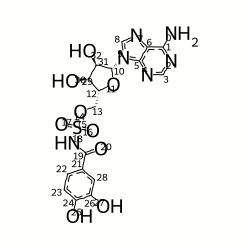 Nc1ncnc2c1ncn2[C@@H]1O[C@H](COS(=O)(=O)NC(=O)c2ccc(O)c(O)c2)[C@@H](O)[C@H]1O